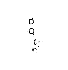 O=c1nc(OCc2ccc(Oc3ccc(Cl)c(F)c3)c(F)c2)cc2n1C[C@]13CO[C@H](CN21)C3